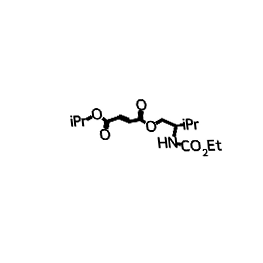 CCOC(=O)N[C@@H](COC(=O)/C=C/C(=O)OC(C)C)C(C)C